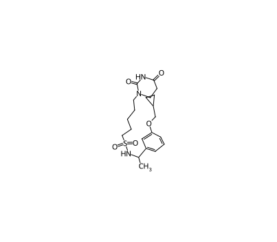 CC(NS(=O)(=O)CCCCCN1CCC(=O)NC1=O)c1cccc(OCC2CC2)c1